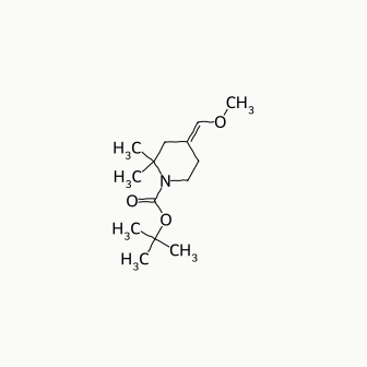 COC=C1CCN(C(=O)OC(C)(C)C)C(C)(C)C1